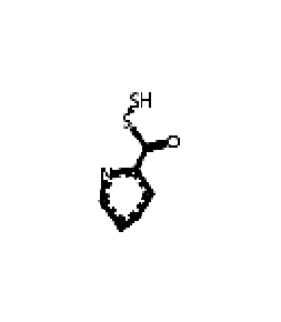 O=C(SS)c1ccccn1